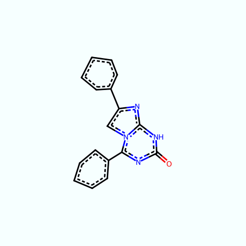 O=c1nc(-c2ccccc2)n2cc(-c3ccccc3)nc2[nH]1